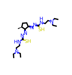 CCN(CC)CCN/C(S)=N/N=C1\CC[C@H](C)\C1=N/N=C(\S)NCCN(CC)CC